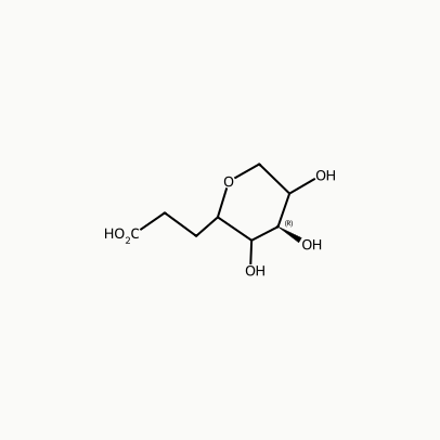 O=C(O)CCC1OCC(O)[C@@H](O)C1O